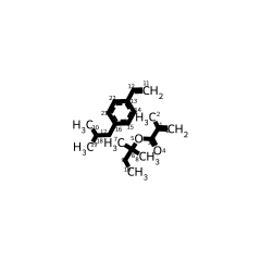 C=C(C)C(=O)OC(C)(C)CC.C=Cc1ccc(CC(C)C)cc1